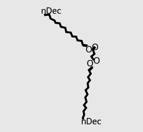 CCCCCCCCCCCCCCCCCCCCCCCCC=COC(=O)CCC(=O)OC=CCCCCCCCCCCCCCCCCCCCCCCCC